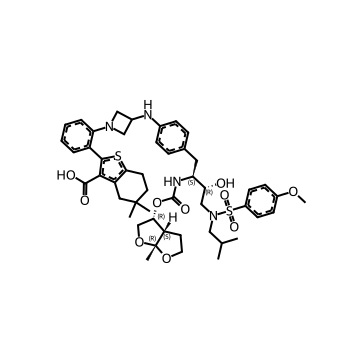 COc1ccc(S(=O)(=O)N(CC(C)C)C[C@@H](O)[C@H](Cc2ccc(NC3CN(c4ccccc4-c4sc5c(c4C(=O)O)CC(C)(C)CC5)C3)cc2)NC(=O)O[C@H]2CO[C@@]3(C)OCC[C@@H]23)cc1